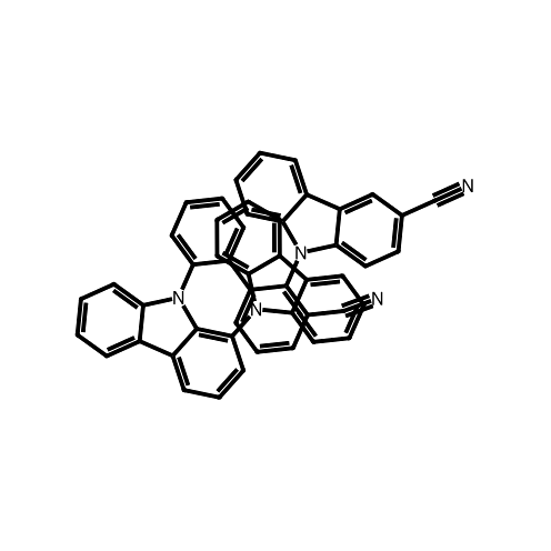 N#Cc1ccc2c(c1)c1ccccc1n2-c1c(C#N)cccc1-c1ccccc1-n1c2ccccc2c2cccc(-n3c4ccccc4c4ccccc43)c21